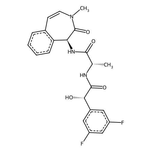 C[C@H](NC(=O)[C@@H](O)c1cc(F)cc(F)c1)C(=O)N[C@@H]1C(=O)N(C)C=Cc2ccccc21